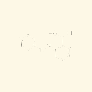 OC(O)c1ccccc1N=Nc1ccccc1